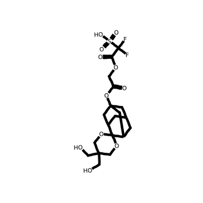 O=C(COC(=O)C(F)(F)S(=O)(=O)O)OC12CC3CC(C1)C1(OCC(CO)(CO)CO1)C(C3)C2